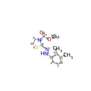 Cc1cccc(NN=C2SCCN2C(=O)OC(C)(C)C)c1C